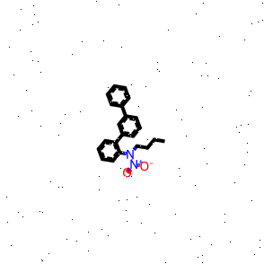 CCCCN(c1ccccc1-c1cccc(-c2ccccc2)c1)[N+](=O)[O-]